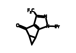 CC(C)n1nc(C(F)(F)F)c2c1C1CC1C2=O